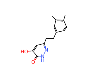 Cc1ccc(CCc2cc(O)c(=O)[nH]n2)cc1C